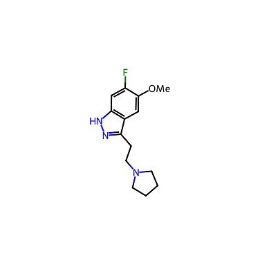 COc1cc2c(CCN3CCCC3)n[nH]c2cc1F